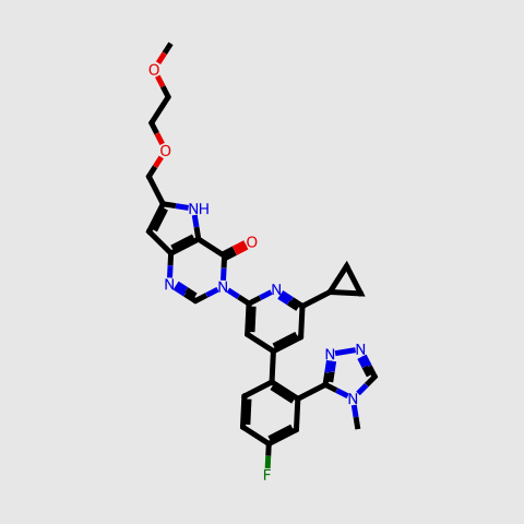 COCCOCc1cc2ncn(-c3cc(-c4ccc(F)cc4-c4nncn4C)cc(C4CC4)n3)c(=O)c2[nH]1